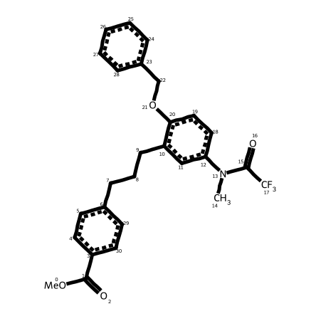 COC(=O)c1ccc(CCCc2cc(N(C)C(=O)C(F)(F)F)ccc2OCc2ccccc2)cc1